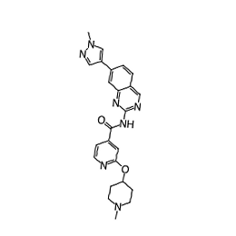 CN1CCC(Oc2cc(C(=O)Nc3ncc4ccc(-c5cnn(C)c5)cc4n3)ccn2)CC1